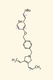 C=CC1=C(/C=C\C)CN(Cc2ccc(COC(/C=C\S)=C/C/C=C/CCCC)cc2)C1